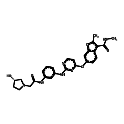 CNC(=O)c1c(C)oc2cc(Oc3ccnc(Nc4cccc(NC(=O)CN5CC[C@H](O)C5)c4)n3)ccc12